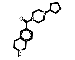 O=C(c1ccc2c(c1)CCNC2)N1CCN(C2CCCC2)CC1